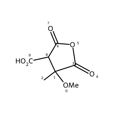 COC1(C)C(=O)OC(=O)C1C(=O)O